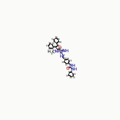 CNc1c(C(=N)NCCc2ccc(NC(=O)Nc3ccccc3)cc2)oc(-c2ccccc2)c1-c1ccccc1